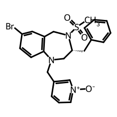 CS(=O)(=O)N1Cc2cc(Br)ccc2N(Cc2ccc[n+]([O-])c2)C[C@H]1Cc1ccccc1